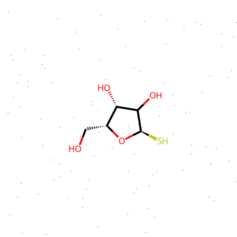 OC[C@H]1O[C@H](S)C(O)[C@H]1O